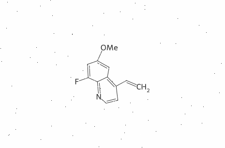 C=Cc1ccnc2c(F)cc(OC)cc12